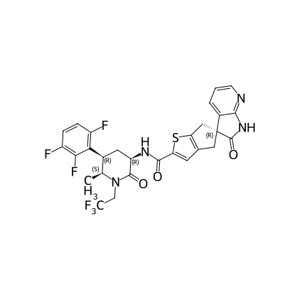 C[C@H]1[C@@H](c2c(F)ccc(F)c2F)C[C@@H](NC(=O)c2cc3c(s2)C[C@@]2(C3)C(=O)Nc3ncccc32)C(=O)N1CC(F)(F)F